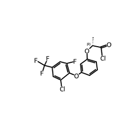 C[C@@H](Oc1cccc(Oc2c(F)cc(C(F)(F)F)cc2Cl)c1)C(=O)Cl